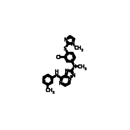 Cc1cccc(Nc2nccn3nc(N(C)c4ccc(Sc5nccn5C)c(Cl)c4)nc23)c1